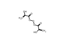 C=C(O)C(=O)OOOC(=O)C(=C)O